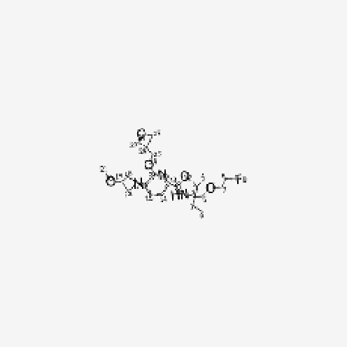 CCC(CC)(COCCF)NC(=O)c1ccc(N2CC(OC)C2)c(OCC2COC2)n1